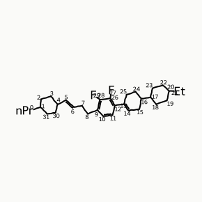 CCCC1CCC(/C=C/CCc2ccc(C3=CCC(C4CCC(CC)CC4)CC3)c(F)c2F)CC1